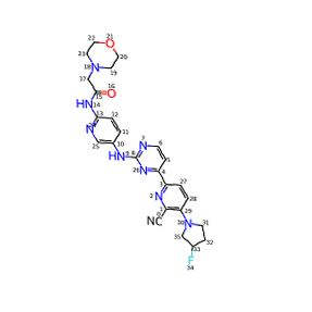 N#Cc1nc(-c2ccnc(Nc3ccc(NC(=O)CN4CCOCC4)nc3)n2)ccc1N1CCC(F)C1